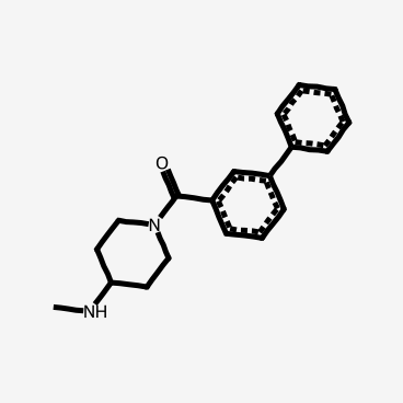 CNC1CCN(C(=O)c2cccc(-c3ccccc3)c2)CC1